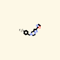 FC(F)(F)c1ccc(CN2CCn3nc(-c4ncco4)cc3C2)cc1